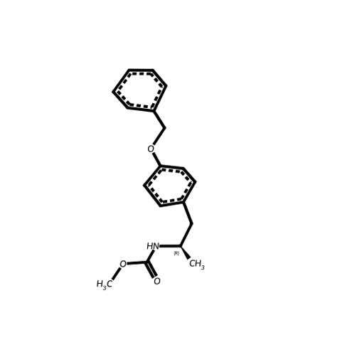 COC(=O)N[C@H](C)Cc1ccc(OCc2ccccc2)cc1